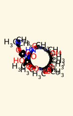 CO[C@H]1/C=C/O[C@@]2(C)Oc3c(C)c(O)c4c(=O)c(c5oc6cc(OCC[N+](C)(C)C)ccc6nc-5c4c3C2=O)NC(=O)/C(C)=C\C=C\[C@H](C)[C@H](O)[C@@H](C)[C@@H](C)[C@@H](C)[C@H](OC(C)=O)[C@@H]1C